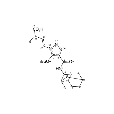 CC(C)COc1c(C(=O)NC2C3CC4CC(C3)CC2C4)cnn1/C=C/C(C)C(=O)O